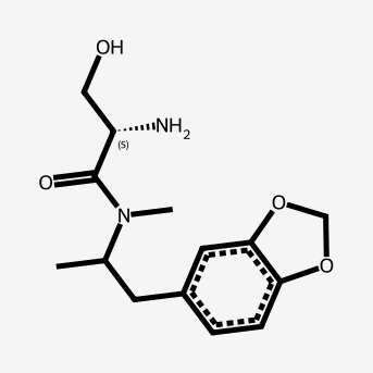 CC(Cc1ccc2c(c1)OCO2)N(C)C(=O)[C@@H](N)CO